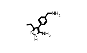 CCc1n[nH]c(N)c1-c1ccc(CN)cc1